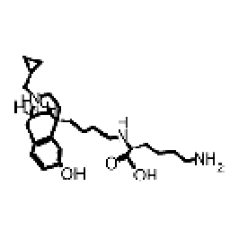 C[C@H]1[C@H]2Cc3ccc(O)cc3[C@@]1(CCCCN[C@@H](CCCCN)C(=O)O)CCN2CC1CC1